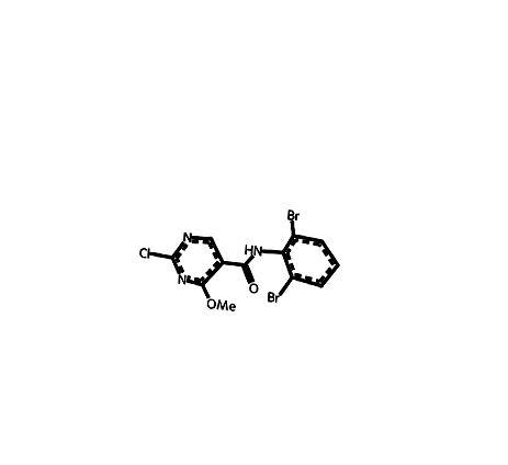 COc1nc(Cl)ncc1C(=O)Nc1c(Br)cccc1Br